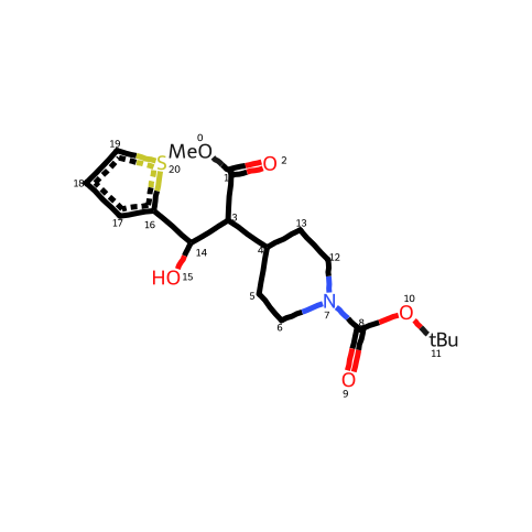 COC(=O)C(C1CCN(C(=O)OC(C)(C)C)CC1)C(O)c1cccs1